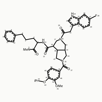 CNC(=O)C(CCCc1ccccc1)NC(=O)C1CN(C(=O)Cc2c[nH]c3cc(F)ccc23)CC2CN(C(=O)c3ccc(OC(C)C)c(OC)c3)CC21